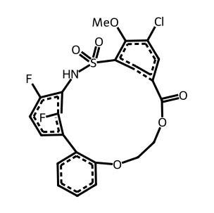 COc1c(Cl)cc2cc1S(=O)(=O)Nc1c(F)ccc(c1F)-c1ccccc1OCCOC2=O